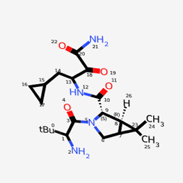 CC(C)(C)C(N)C(=O)N1CC2[C@@H]([C@H]1C(=O)NC(CC1CC1)C(=O)C(N)=O)C2(C)C